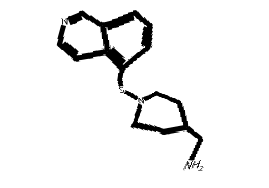 NCC1CCN(Sc2cccc3cnccc23)CC1